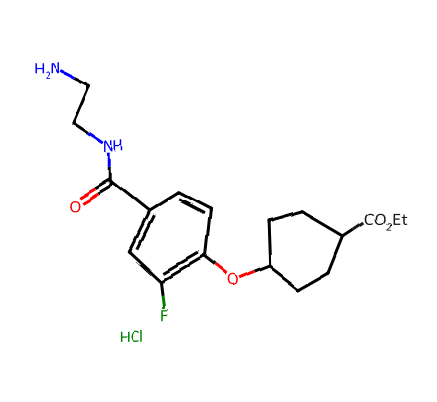 CCOC(=O)C1CCC(Oc2ccc(C(=O)NCCN)cc2F)CC1.Cl